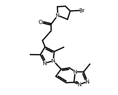 Cc1nn(-c2ccc3nnc(C)n3c2)c(C)c1CCC(=O)N1CCC(Br)C1